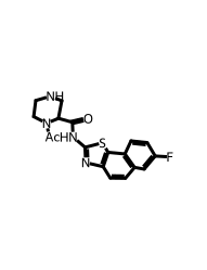 CC(=O)N1CCNCC1C(=O)Nc1nc2ccc3cc(F)ccc3c2s1